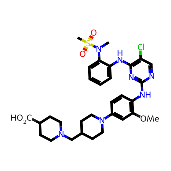 COc1cc(N2CCC(CN3CCC(C(=O)O)CC3)CC2)ccc1Nc1ncc(Cl)c(Nc2ccccc2N(C)S(C)(=O)=O)n1